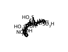 Cc1cc(N=Nc2c(S(=O)(=O)O)cc3cc(S(=O)(=O)O)c(N=Nc4c(C)c(C#N)c5nc6ccccc6n5c4O)cc3c2O)c(OCCCS(=O)(=O)O)cc1N=Nc1nc2ccc(Cl)c(S(=O)(=O)O)c2s1